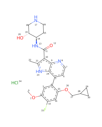 COc1cc(-c2ccnc3c(C(=O)N[C@@H]4CCNC[C@H]4O)c(C)[nH]c23)c(OCC2CC2)cc1F.Cl